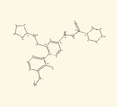 CCOc1cccc(-c2ccc(NOC(=O)C3CCOCC3)cc2COC2CCCC2)c1C